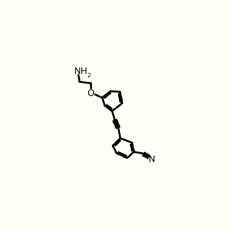 N#Cc1cccc(C#Cc2cccc(OCCN)c2)c1